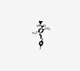 C[C@@H]1CN(CCCOc2ccc(F)cc2)[C@@H](C)CN1C(=O)NC1CC1